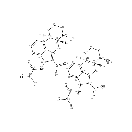 CCC(=O)c1c2c3c(cccc3n1NC(=O)N(CC)CC)[C@H]1CCCN(C)[C@@H]1C2.CCC(O)c1c2c3c(cccc3n1NC(=O)N(CC)CC)[C@H]1CCCN(C)[C@@H]1C2